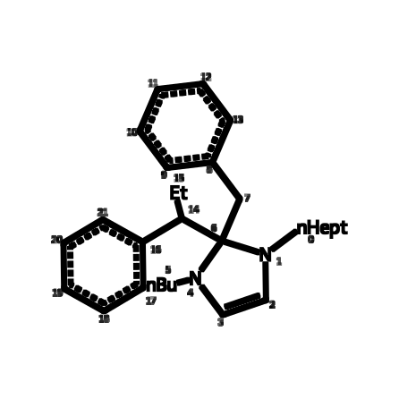 CCCCCCCN1C=CN(CCCC)C1(Cc1ccccc1)C(CC)c1ccccc1